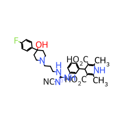 CC1=C(C(=O)O)C(c2cccc(N/C(=N/C#N)NCCCN3CCC(O)(c4ccc(F)cc4)CC3)c2)C(C(=O)O)=C(C)N1